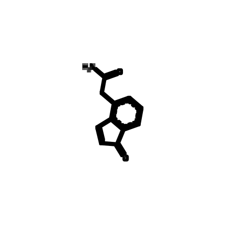 NC(=O)Cc1cccc2c1C=CC2=O